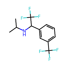 CC(C)NC(c1cccc(C(F)(F)F)c1)C(F)(F)F